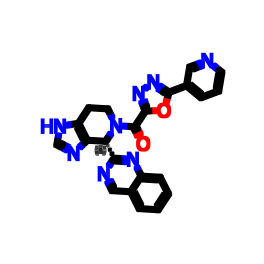 O=C(c1nnc(-c2cccnc2)o1)N1CCc2[nH]cnc2[C@H]1c1ncc2ccccc2n1